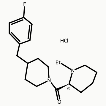 CCN1CCCC[C@H]1C(=O)N1CCC(Cc2ccc(F)cc2)CC1.Cl